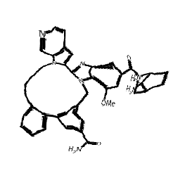 COc1cc(C(=O)N2CC3CCC2[C@@H]3N)cc2nc3n(c12)Cc1cc(C(N)=O)cc(c1)-c1ccccc1CCCCn1c-3cc2ccncc21